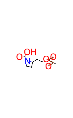 CS(=O)(=O)OCCC1CCN1C(=O)O